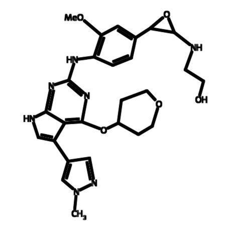 COc1cc(C2OC2NCCO)ccc1Nc1nc(OC2CCOCC2)c2c(-c3cnn(C)c3)c[nH]c2n1